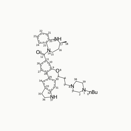 CCCCN1CCN(CCCOc2cc(C(=O)N3CC[C@H](C)Nc4ccccc43)ccc2-c2ccc3c(c2)CCN3)CC1